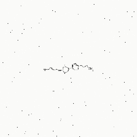 CCCCc1ccc([C@H]2CC[C@H](CCC=CC#N)CC2)cc1